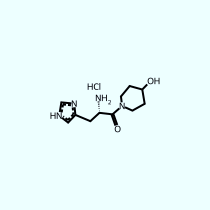 Cl.N[C@@H](Cc1c[nH]cn1)C(=O)N1CCC(O)CC1